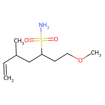 C=CC(C)CC(CCOC)S(N)(=O)=O